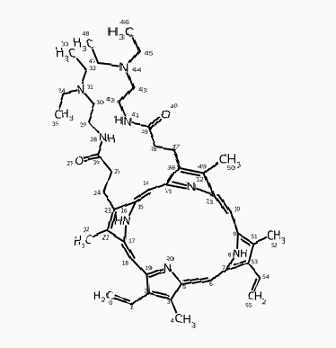 C=CC1=C(C)c2cc3[nH]c(cc4nc(cc5[nH]c(cc1n2)c(C)c5CCC(=O)NCCN(CC)CC)C(CCC(=O)NCCN(CC)CC)=C4C)c(C)c3C=C